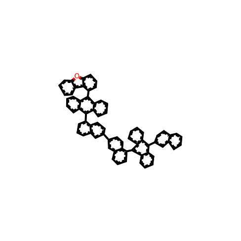 c1ccc2cc(-c3c4ccccc4c(-c4cccc5cc(-c6ccc7c(-c8c9ccccc9c(-c9cccc%10oc%11ccccc%11c9%10)c9ccccc89)cccc7c6)ccc45)c4ccccc34)ccc2c1